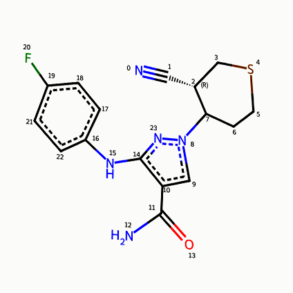 N#C[C@@H]1CSCCC1n1cc(C(N)=O)c(Nc2ccc(F)cc2)n1